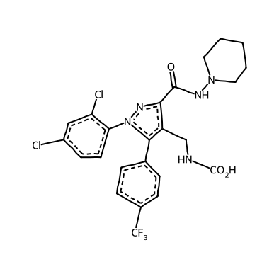 O=C(O)NCc1c(C(=O)NN2CCCCC2)nn(-c2ccc(Cl)cc2Cl)c1-c1ccc(C(F)(F)F)cc1